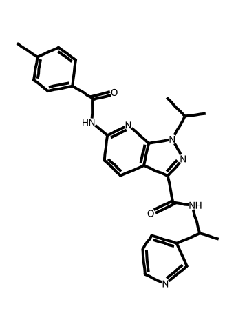 Cc1ccc(C(=O)Nc2ccc3c(C(=O)NC(C)c4cccnc4)nn(C(C)C)c3n2)cc1